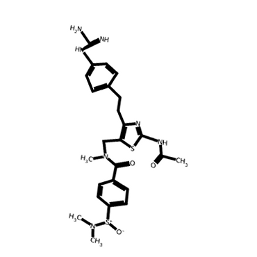 CC(=O)Nc1nc(CCc2ccc(NC(=N)N)cc2)c(CN(C)C(=O)c2ccc([S+]([O-])N(C)C)cc2)s1